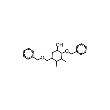 CC1C(COCc2ccccc2)CC(O)C(OCc2ccccc2)C1C